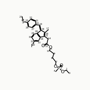 CCOP(C)(=O)OCCCCOC(=O)CC1=C(C)/C(=C/c2ccc(SC)cc2)c2ccc(F)cc21